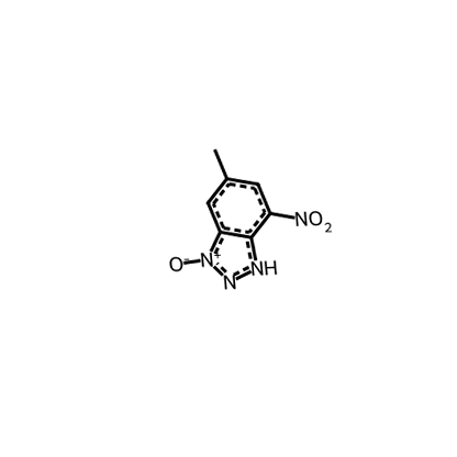 Cc1cc([N+](=O)[O-])c2[nH]n[n+]([O-])c2c1